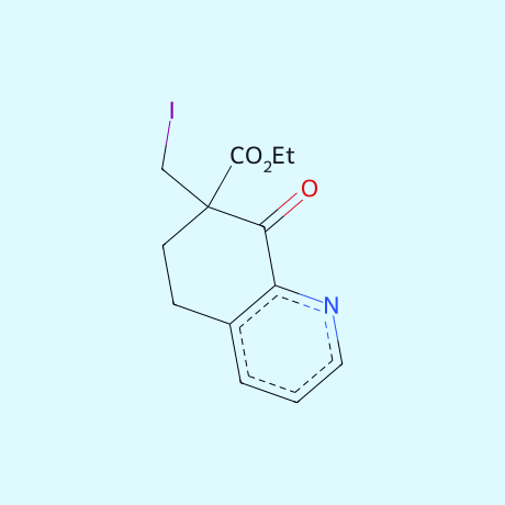 CCOC(=O)C1(CI)CCc2cccnc2C1=O